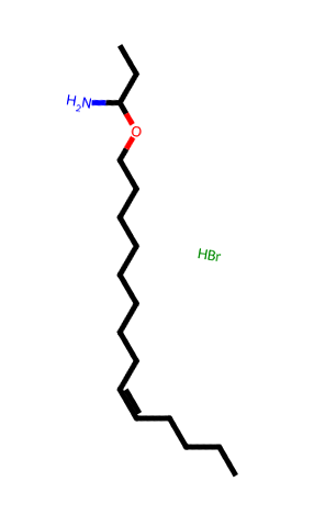 Br.CCCC/C=C\CCCCCCCCOC(N)CC